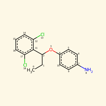 CCC(Oc1ccc(N)cc1)c1c(Cl)cccc1Cl